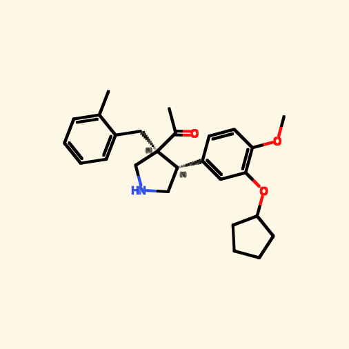 COc1ccc([C@@H]2CNC[C@@]2(Cc2ccccc2C)C(C)=O)cc1OC1CCCC1